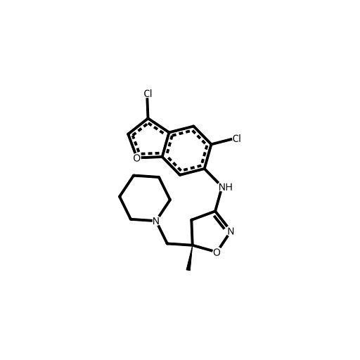 C[C@@]1(CN2CCCCC2)CC(Nc2cc3occ(Cl)c3cc2Cl)=NO1